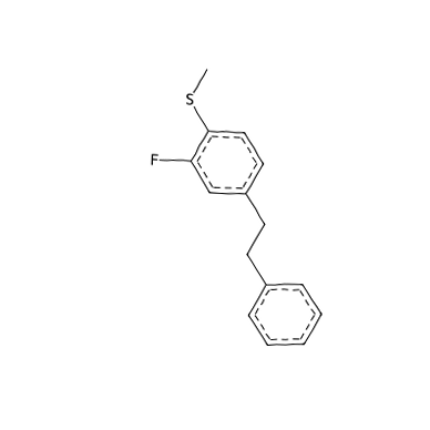 CSc1ccc(CCc2ccccc2)cc1F